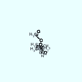 CCCCN(C(=O)Nc1c(C(C)C)cc(-c2cccc(C#CCN(C)Cc3ccccc3)c2)cc1C(C)C)c1cc2cccnc2[nH]c1=O